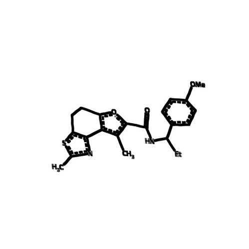 CCC(NC(=O)c1oc2c(c1C)-c1nc(C)sc1CC2)c1ccc(OC)cc1